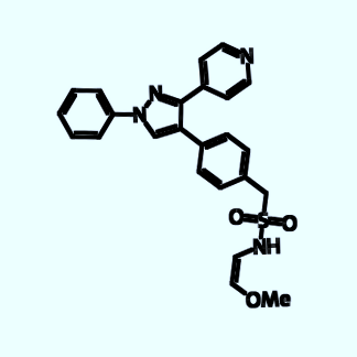 CO/C=C\NS(=O)(=O)Cc1ccc(-c2cn(-c3ccccc3)nc2-c2ccncc2)cc1